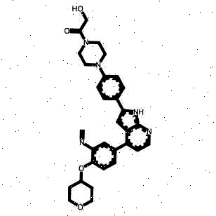 C=Nc1cc(-c2ccnc3[nH]c(-c4ccc(N5CCN(C(=O)CO)CC5)cc4)cc23)ccc1OC1CCOCC1